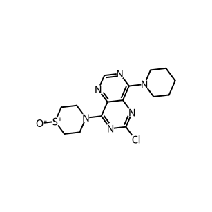 [O-][S+]1CCN(c2nc(Cl)nc3c(N4CCCCC4)ncnc23)CC1